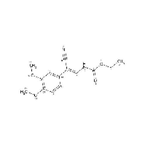 CCOC(=O)NC=C(C#N)c1ccc(OC)c(OC)c1